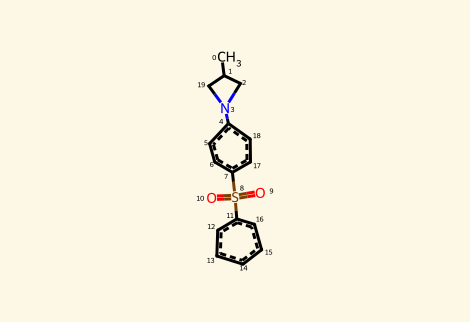 CC1CN(c2ccc(S(=O)(=O)c3ccccc3)cc2)C1